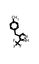 Cc1ccc(Cc2[c]n[nH]c2C(F)(F)F)cc1